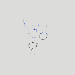 CCNC(=O)C1CC12N=C(c1ccc(Cl)cc1)c1cccnc1-n1c(C)nnc12